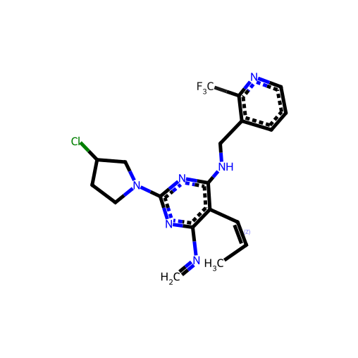 C=Nc1nc(N2CCC(Cl)C2)nc(NCc2cccnc2C(F)(F)F)c1/C=C\C